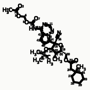 CC(=O)OCOC(=O)Nc1ncnn2c([C@]3(C#N)O[C@H](COC(=O)CC4(C)CCCCC4)[C@@H](C)C3O[Si](C)(C)C)ccc12